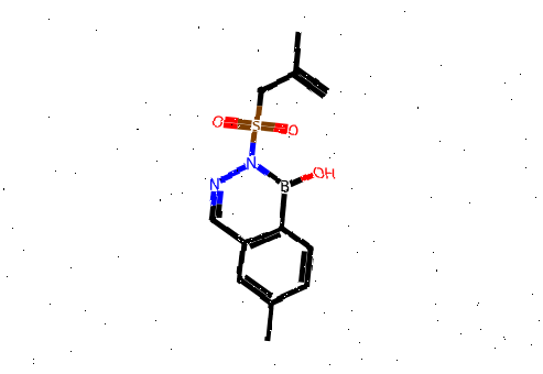 C=C(C)CS(=O)(=O)N1N=Cc2cc(C)ccc2B1O